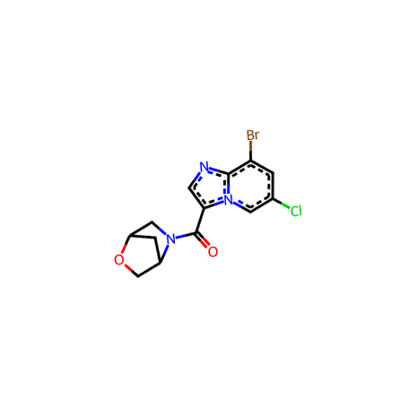 O=C(c1cnc2c(Br)cc(Cl)cn12)N1CC2CC1CO2